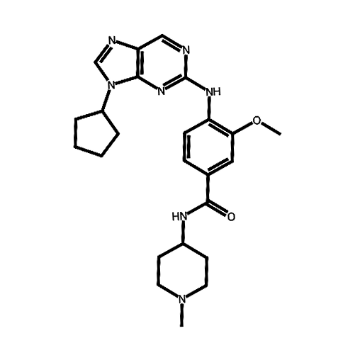 COc1cc(C(=O)NC2CCN(C)CC2)ccc1Nc1ncc2ncn(C3CCCC3)c2n1